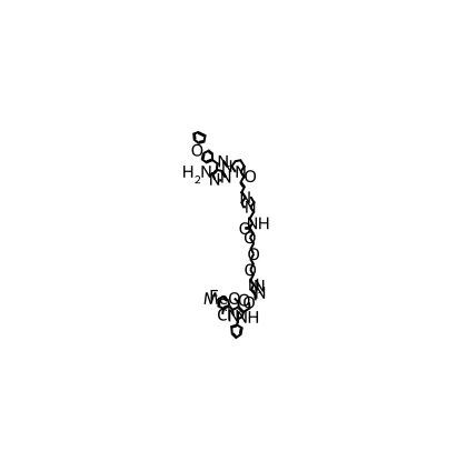 COC(=O)C1=C(COCc2cn(CCOCCOCCOCC(=O)NCCN3CCN(C/C=C/C(=O)N4CCC[C@@H](n5nc(-c6ccc(Oc7ccccc7)cc6)c6c(N)ncnc65)C4)CC3)nn2)NC(c2ccccc2)=NC1c1ccc(F)cc1Cl